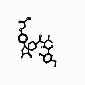 CCc1ccc(F)c(C(=O)NC(C(=O)N2CCC3(CC2)C(=O)N(C)CN3c2ccc(OCC(=O)O)cc2)C(C)C)c1